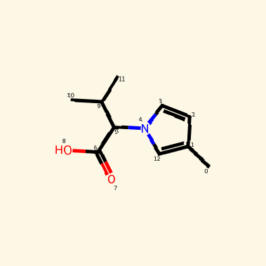 Cc1ccn(C(C(=O)O)C(C)C)c1